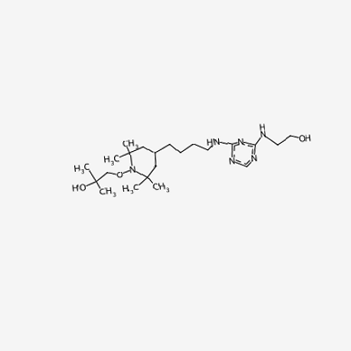 CC(C)(O)CON1C(C)(C)CC(CCCCNc2ncnc(NCCO)n2)CC1(C)C